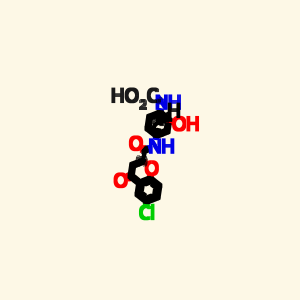 O=C(O)NC12CCC(NC(=O)[C@@H]3CC(=O)c4cc(Cl)ccc4O3)(CC1)C[C@@H]2O